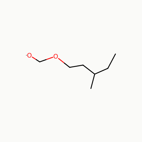 CCC(C)CCOC[O]